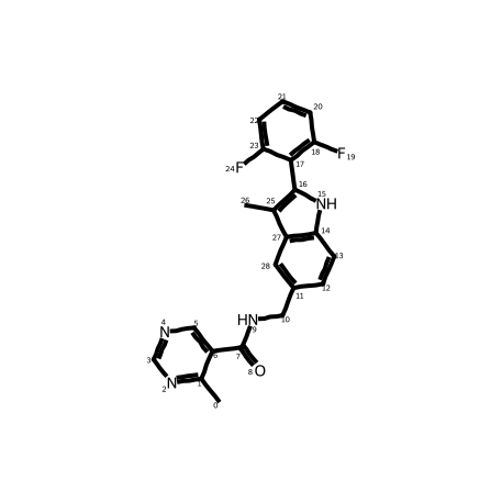 Cc1ncncc1C(=O)NCc1ccc2[nH]c(-c3c(F)cccc3F)c(C)c2c1